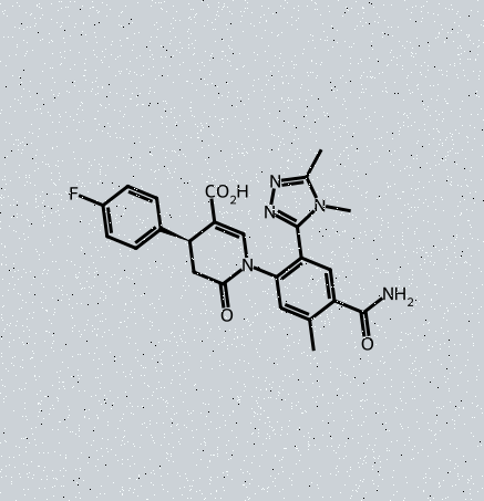 Cc1cc(N2C=C(C(=O)O)[C@H](c3ccc(F)cc3)CC2=O)c(-c2nnc(C)n2C)cc1C(N)=O